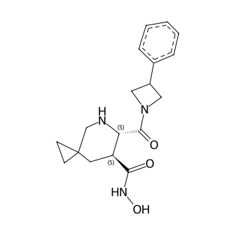 O=C(NO)[C@H]1CC2(CC2)CN[C@@H]1C(=O)N1CC(c2ccccc2)C1